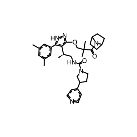 Cc1cc(C)cc(-c2[nH]nc(OCC(C)(C)C(=O)N3C4CCC3CC4)c2[C@H](C)CNC(=O)N2CCC(c3ccncc3)C2)c1